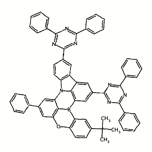 CC(C)(C)c1ccc2c(c1)B1c3c(cc(-c4ccccc4)cc3-n3c4ccc(-c5nc(-c6ccccc6)nc(-c6ccccc6)n5)cc4c4cc(-c5nc(-c6ccccc6)nc(-c6ccccc6)n5)cc1c43)O2